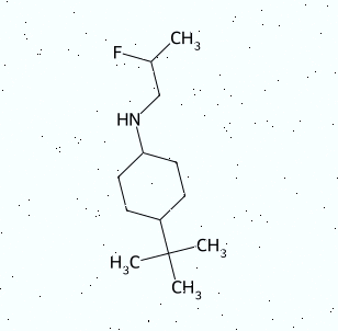 CC(F)CNC1CCC(C(C)(C)C)CC1